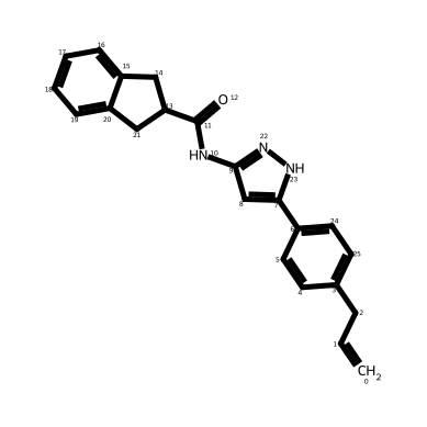 C=CCc1ccc(-c2cc(NC(=O)C3Cc4ccccc4C3)n[nH]2)cc1